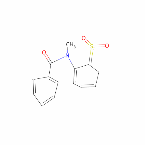 CN(C(=O)c1[c]cccc1)C1=CC=CCC1=S(=O)=O